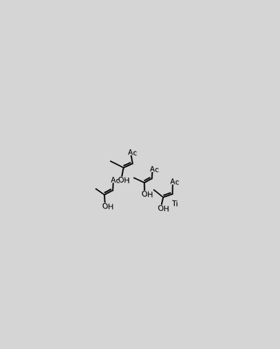 CC(=O)/C=C(\C)O.CC(=O)/C=C(\C)O.CC(=O)/C=C(\C)O.CC(=O)/C=C(\C)O.[Ti]